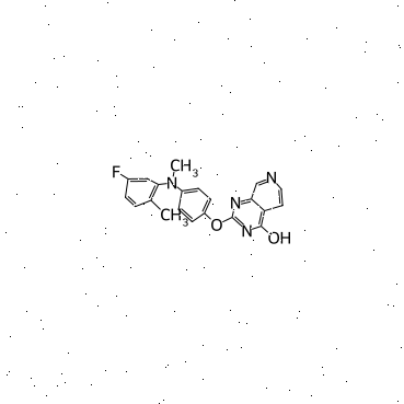 Cc1ccc(F)cc1N(C)c1ccc(Oc2nc(O)c3ccncc3n2)cc1